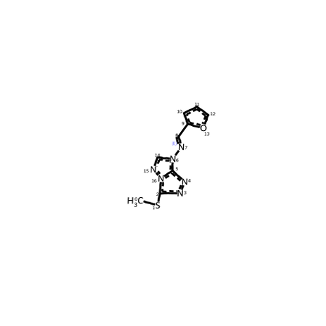 CSc1nnc2n(/N=C/c3ccco3)cnn12